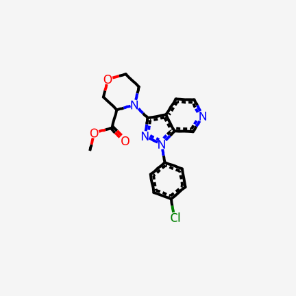 COC(=O)C1COCCN1c1nn(-c2ccc(Cl)cc2)c2cnccc12